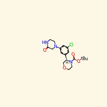 CC(C)(C)OC(=O)N1CCOC[C@H]1c1cc(Cl)cc(N2CCNC(=O)C2)c1